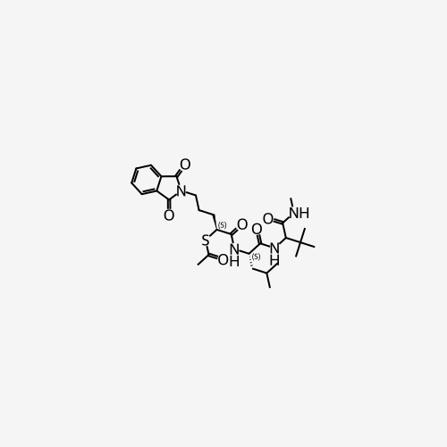 CNC(=O)C(NC(=O)[C@H](CC(C)C)NC(=O)[C@H](CCCN1C(=O)c2ccccc2C1=O)SC(C)=O)C(C)(C)C